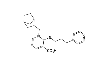 O=C(O)C1=CC=CN(CC2CC3CCC2C3)C1SCCCc1ccccc1